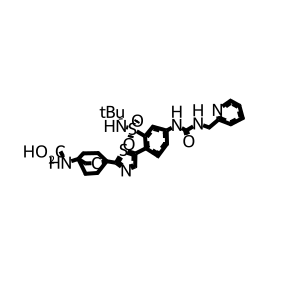 CC(C)(C)NS(=O)(=O)c1cc(NC(=O)NCc2ccccn2)ccc1-c1cnc(C23CCC(NC(=O)O)(CC2)CC3)s1